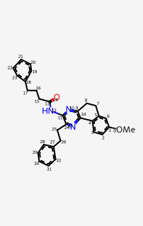 COc1ccc2c(c1)CCc1nc(NC(=O)CCCc3ccccc3)c(CCc3ccccc3)nc1-2